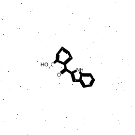 O=C(O)c1ccccc1C(=O)c1cc2ccccc2[nH]1